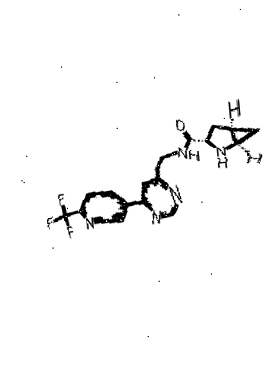 O=C(NCc1cc(-c2ccc(C(F)(F)F)nc2)ncn1)[C@@H]1C[C@H]2C[C@H]2N1